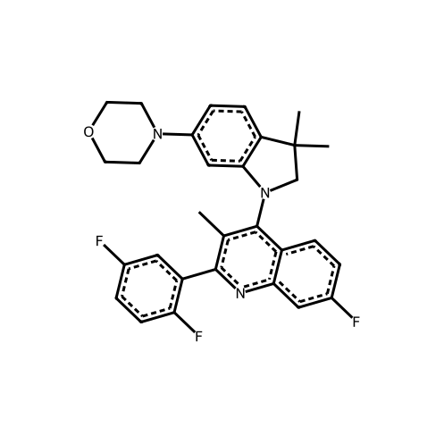 Cc1c(-c2cc(F)ccc2F)nc2cc(F)ccc2c1N1CC(C)(C)c2ccc(N3CCOCC3)cc21